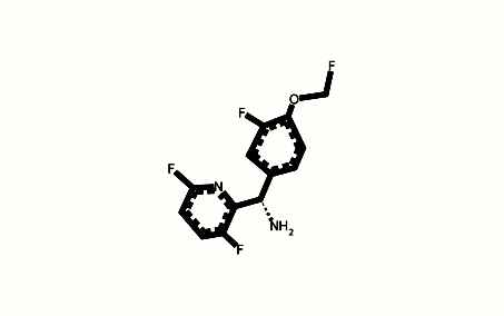 N[C@@H](c1ccc(OCF)c(F)c1)c1nc(F)ccc1F